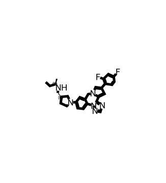 CC[C@@H](C)NC[C@H]1CCN(c2ccc3c(c2)Cn2cc(-c4ccc(F)cc4F)cc2-c2ncnn2-3)C1